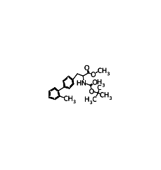 COC(=O)C(Cc1ccc(-c2ccccc2C)cc1)NC(=O)OC(C)(C)C